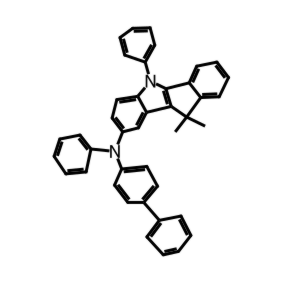 CC1(C)c2ccccc2-c2c1c1cc(N(c3ccccc3)c3ccc(-c4ccccc4)cc3)ccc1n2-c1ccccc1